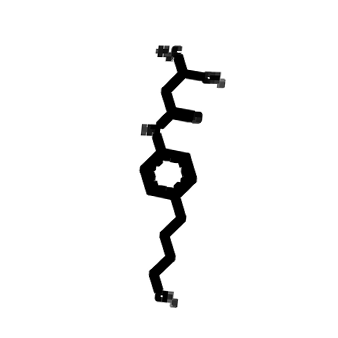 [CH2]C(C)CC(=O)Nc1ccc(CCCCC)cc1